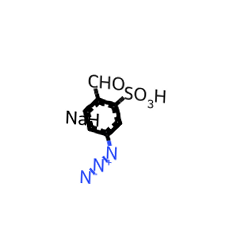 [N-]=[N+]=Nc1ccc(C=O)c(S(=O)(=O)O)c1.[NaH]